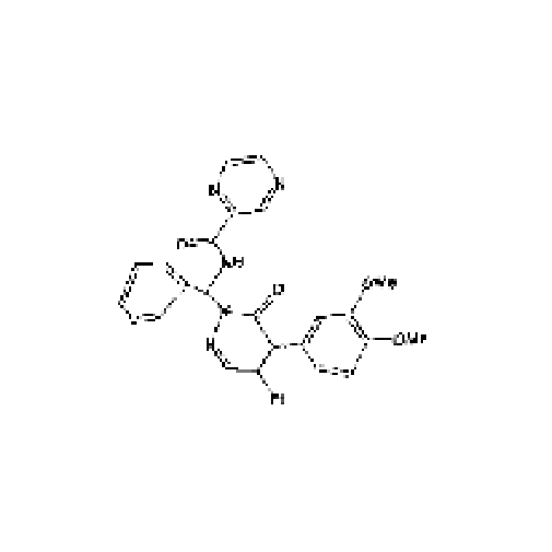 CCC1C=NN(C(NC(=O)c2cnccn2)c2ccccc2)C(=O)C1c1ccc(OC)c(OC)c1